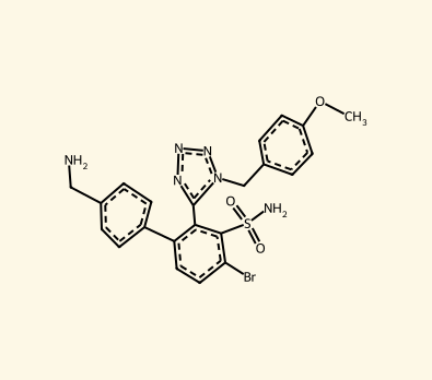 COc1ccc(Cn2nnnc2-c2c(-c3ccc(CN)cc3)ccc(Br)c2S(N)(=O)=O)cc1